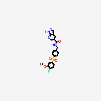 CCOc1cc(S(=O)(=O)c2ccc(CNC(=O)c3cnc4[nH]ncc4c3)cc2)ccc1F